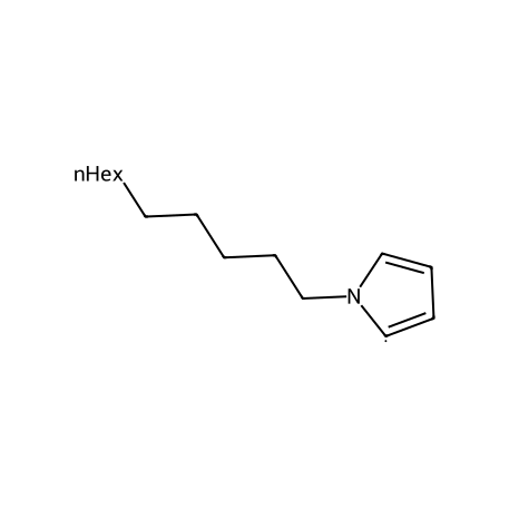 CCCCCCCCCCCn1[c]ccc1